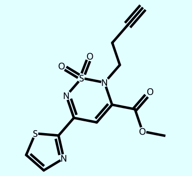 C#CCCN1C(C(=O)OC)=CC(c2nccs2)=NS1(=O)=O